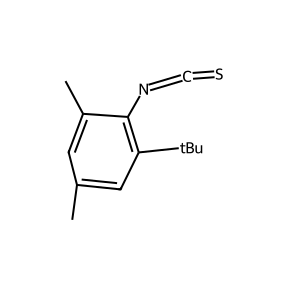 Cc1cc(C)c(N=C=S)c(C(C)(C)C)c1